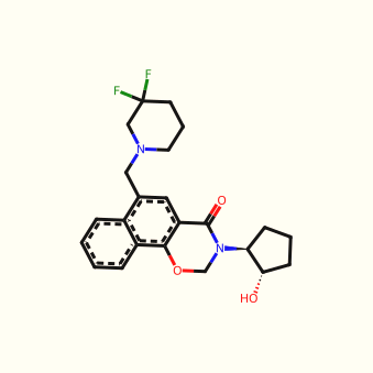 O=C1c2cc(CN3CCCC(F)(F)C3)c3ccccc3c2OCN1[C@H]1CCC[C@@H]1O